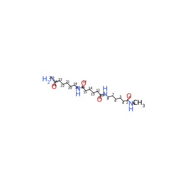 CNC(=O)CCCCCNC(=O)CCCCC(=O)NCCCCCC(N)=O